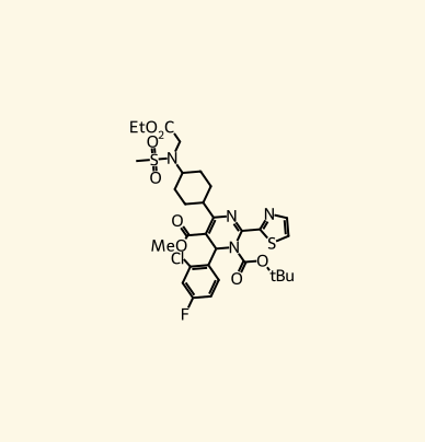 CCOC(=O)CN(C1CCC(C2=C(C(=O)OC)C(c3ccc(F)cc3Cl)N(C(=O)OC(C)(C)C)C(c3nccs3)=N2)CC1)S(C)(=O)=O